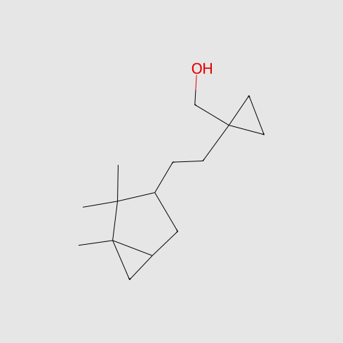 CC1(C)C(CCC2(CO)CC2)CC2CC21C